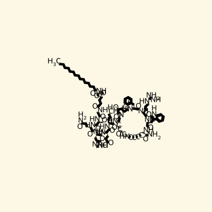 CCCCCCCCCCCCCCCC(=O)NS(=O)(=O)CCCC(=O)NCC(=O)N[C@@H](CO)C(=O)N[C@@H](CCC(N)=O)C(=O)N[C@@H](Cc1c[nH]cn1)C(=O)N[C@@H](CCC(=O)O)C(=O)N[C@@H](CCCC)C(=O)N[C@H]1CCC(=O)CNCCCC[C@@H](C(N)=O)NC(=O)[C@H](Cc2c[nH]c3ccccc23)NC(=O)[C@H](CCCNC(=N)N)NC(=O)[C@@H](Cc2ccccc2)NC(=O)[C@@H]2C[C@@H](O)CN2C1=O